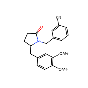 COc1ccc(CC2CCC(=O)N2Cc2cccc(C#N)c2)cc1OC